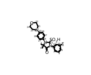 CC1(C)C(=O)N(c2cccc(F)c2)C(S(=O)(=O)O)N1c1ccc(N2CCOCC2)cc1